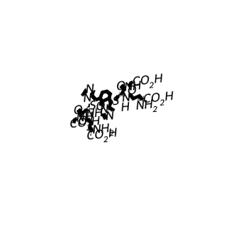 N[C@H](CCC(=O)N[C@@H](CSC(c1cnccn1)C1CCCC(C(SC[C@H](NC(=O)CC[C@H](N)C(=O)O)C(=O)NCC(=O)O)c2cnccn2)C1=O)C(=O)NCC(=O)O)C(=O)O